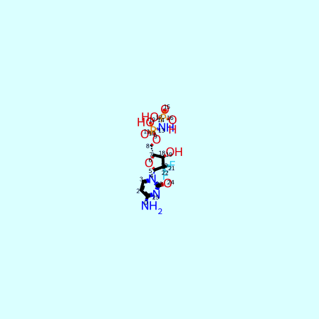 Nc1ccn([C@@H]2O[C@H](COP(=O)(O)NP(=O)(O)O)C(O)C2(F)F)c(=O)n1